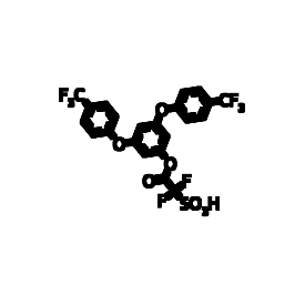 O=C(Oc1cc(Oc2ccc(C(F)(F)F)cc2)cc(Oc2ccc(C(F)(F)F)cc2)c1)C(F)(F)S(=O)(=O)O